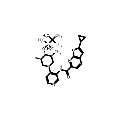 C[C@H]1CN(c2ccncc2NC(=O)c2ccc3cc(C4CC4)oc3n2)C[C@@H](I)[C@@H]1O[Si](C)(C)C(C)(C)C